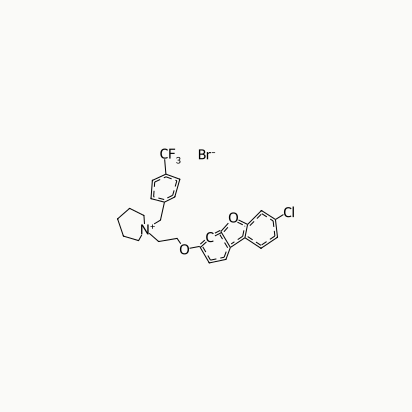 FC(F)(F)c1ccc(C[N+]2(CCOc3ccc4c(c3)oc3cc(Cl)ccc34)CCCCC2)cc1.[Br-]